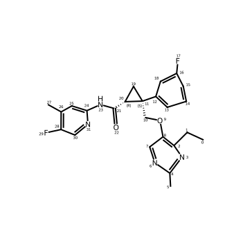 CCc1nc(C)ncc1OC[C@@]1(c2cccc(F)c2)C[C@H]1C(=O)Nc1cc(C)c(F)cn1